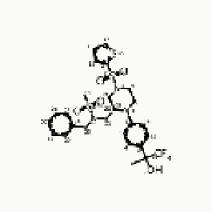 CC(O)(c1ccc(N2CCN(S(=O)(=O)c3cccs3)C[C@@H]2CN(Cc2ccccc2)S(C)(=O)=O)cc1)C(F)(F)F